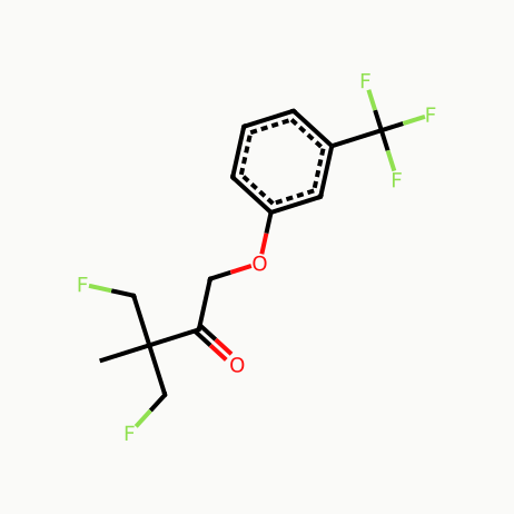 CC(CF)(CF)C(=O)COc1cccc(C(F)(F)F)c1